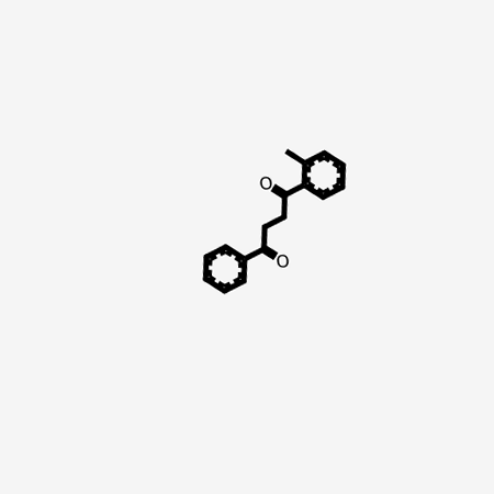 Cc1ccccc1C(=O)CCC(=O)c1ccccc1